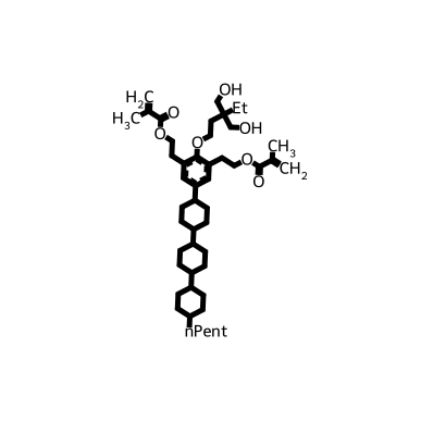 C=C(C)C(=O)OCCc1cc(C2CCC(C3CCC(C4CCC(CCCCC)CC4)CC3)CC2)cc(CCOC(=O)C(=C)C)c1OCCC(CC)(CO)CO